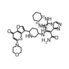 NC(=O)c1c(NC2CCC(c3coc4c(=O)cc(N5CCOCC5)sc34)NC2)nc(N[C@H]2CCCC[C@H]2N)n2cnnc12